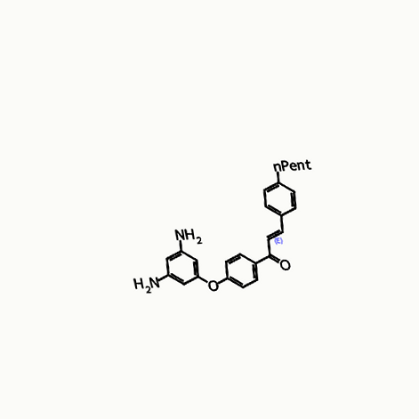 CCCCCc1ccc(/C=C/C(=O)c2ccc(Oc3cc(N)cc(N)c3)cc2)cc1